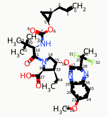 C=CC[C@@H]1C[C@H]1OC(=O)N[C@H](C(=O)N1C[C@H](Oc2nc3cc(OC)ccc3nc2C(C)(F)F)[C@@H](CC)[C@H]1C(=O)O)C(C)(C)C